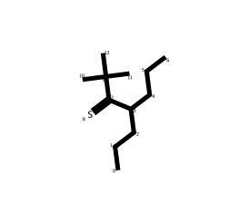 CCCC(CCC)C(=S)C(C)(C)C